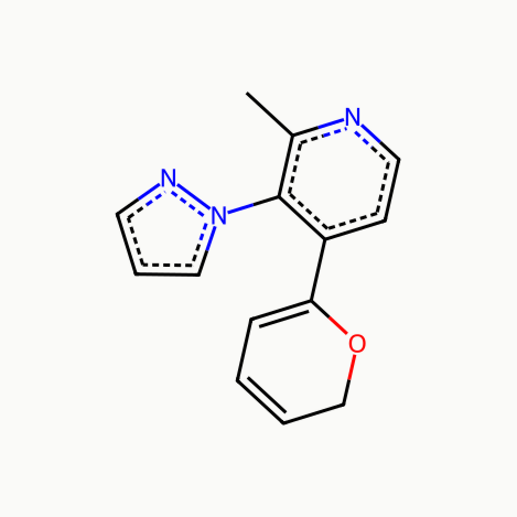 Cc1nccc(C2=CC=CCO2)c1-n1cccn1